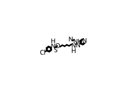 N#CNC(=Nc1ccncc1)NCCCCCCOC(=S)Nc1ccc(Cl)cc1